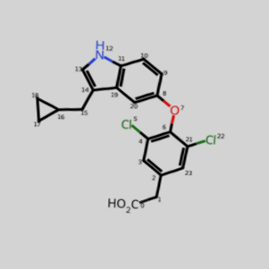 O=C(O)Cc1cc(Cl)c(Oc2ccc3[nH]cc(CC4CC4)c3c2)c(Cl)c1